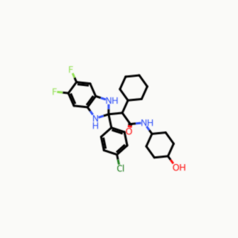 O=C(NC1CCC(O)CC1)C(C1CCCCC1)C1(c2ccc(Cl)cc2)Nc2cc(F)c(F)cc2N1